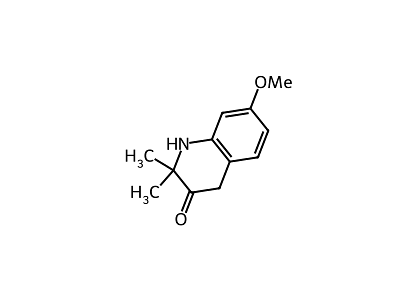 COc1ccc2c(c1)NC(C)(C)C(=O)C2